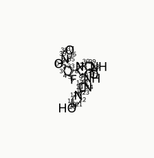 O=C(c1ccc(F)c(-c2cc(Nc3ccc(N4CCC(O)CC4)cn3)c3c(=O)[nH]ccc3n2)c1)N1CCOCC1